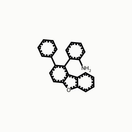 Nc1ccccc1-c1c(-c2ccccc2)ccc2oc3ccccc3c12